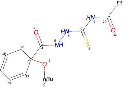 CCCCOC1(C(=O)NNC(=S)NC(=O)CC)C=CC=CC1